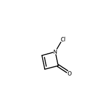 O=C1C=CN1Cl